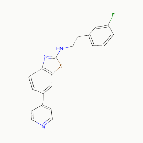 Fc1cccc(CCNc2nc3ccc(-c4ccncc4)cc3s2)c1